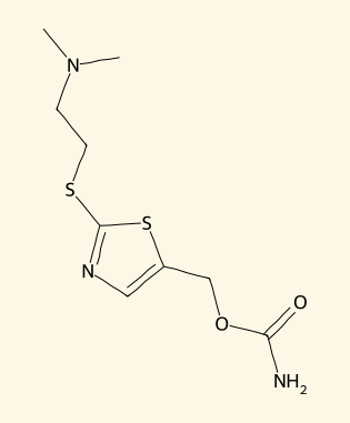 CN(C)CCSc1ncc(COC(N)=O)s1